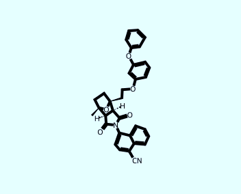 C[C@@]12CC[C@@](CCOc3cccc(Oc4ccccc4)c3)(O1)[C@H]1C(=O)N(c3ccc(C#N)c4ccccc34)C(=O)[C@H]12